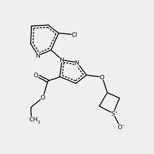 CCOC(=O)c1cc(OC2C[S+]([O-])C2)nn1-c1ncccc1Cl